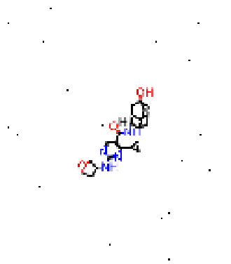 O=C(N[C@H]1C2CC3CC1C[C@@](O)(C3)C2)c1cnc(N[C@@H]2CCOC2)nc1C1CC1